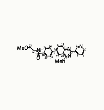 CNc1nc(-c2cccnc2)nc2ccc(-c3ccc(C(=O)NCCOC)cc3)cc12